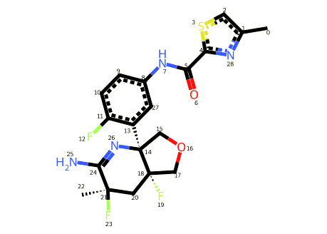 Cc1csc(C(=O)Nc2ccc(F)c([C@]34COC[C@@]3(F)C[C@@](C)(F)C(N)=N4)c2)n1